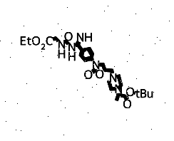 CCOC(=O)CNC(=O)NC(=N)c1ccc(N2CC(CN3CCN(C(C)C(=O)OC(C)(C)C)CC3)OC2=O)cc1